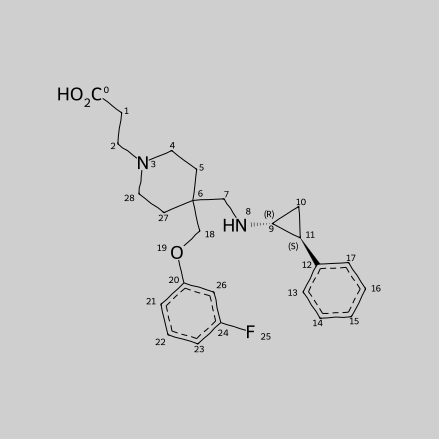 O=C(O)CCN1CCC(CN[C@@H]2C[C@H]2c2ccccc2)(COc2cccc(F)c2)CC1